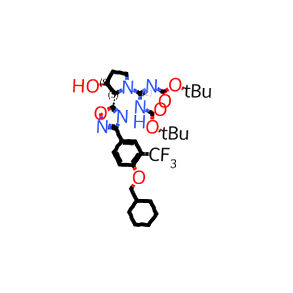 CC(C)(C)OC(=O)/N=C(\NC(=O)OC(C)(C)C)N1CC[C@H](O)[C@H]1c1nc(-c2ccc(OCC3CCCCC3)c(C(F)(F)F)c2)no1